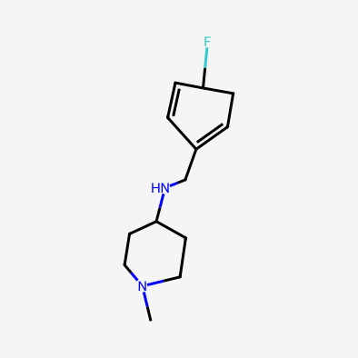 CN1CCC(NCC2=CCC(F)C=C2)CC1